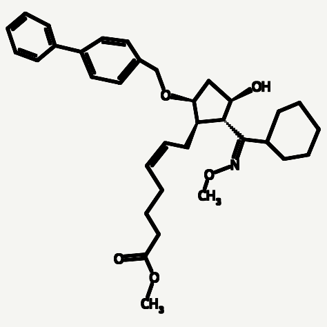 CON=C(C1CCCCC1)[C@@H]1[C@@H](C/C=C\CCCC(=O)OC)[C@@H](OCc2ccc(-c3ccccc3)cc2)C[C@H]1O